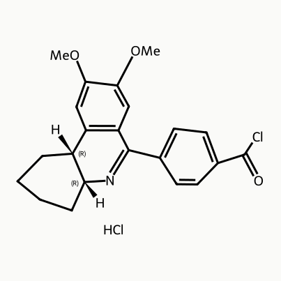 COc1cc2c(cc1OC)[C@H]1CCCC[C@H]1N=C2c1ccc(C(=O)Cl)cc1.Cl